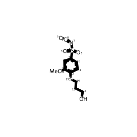 COc1cc(S(=O)(=O)N=C=O)ccc1SCCCO